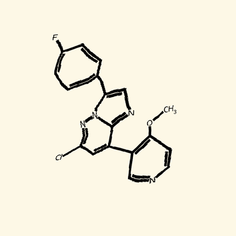 COc1ccncc1-c1cc(Cl)nn2c(-c3ccc(F)cc3)cnc12